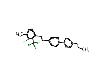 CCCc1ccc(-c2ccc(CCc3ccc(C)c(F)c3C(F)(F)F)cc2)cc1